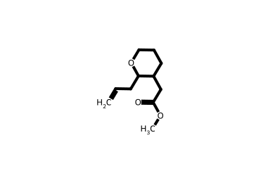 C=CCC1OCCCC1CC(=O)OC